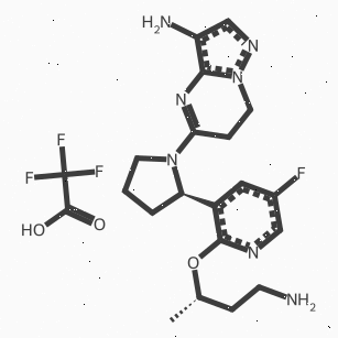 C[C@@H](CCN)Oc1ncc(F)cc1[C@H]1CCCN1C1=Nc2c(N)cnn2CC1.O=C(O)C(F)(F)F